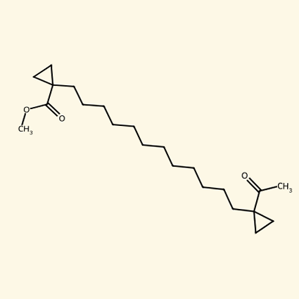 COC(=O)C1(CCCCCCCCCCCCC2(C(C)=O)CC2)CC1